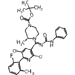 Cc1cccc(F)c1-c1nc(Cl)c(C(=NC(=O)Nc2ccccc2)N2CCN(C(=O)OC(C)(C)C)C[C@@H]2C)cc1Cl